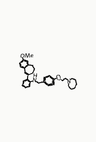 COc1ccc2c(c1)CCCC(c1ccccc1NCc1ccc(OCCN3CCCCCC3)cc1)=C2